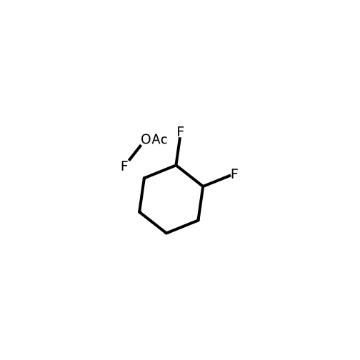 CC(=O)OF.FC1CCCCC1F